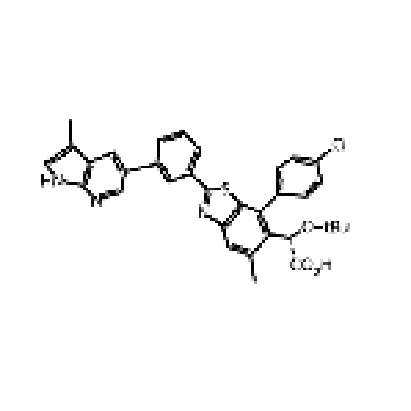 Cc1cc2nc(-c3cccc(-c4cnc5[nH]cc(C)c5c4)c3)sc2c(-c2ccc(Cl)cc2)c1[C@H](OC(C)(C)C)C(=O)O